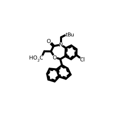 CC(C)(C)CN1C(=O)C(CC(=O)O)OC(c2cccc3ccccc23)c2cc(Cl)ccc21